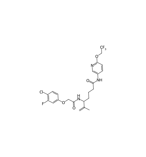 C=C(C)C(CCCC(=O)Nc1ccc(OCC(F)(F)F)nc1)NC(=O)COc1ccc(Cl)c(F)c1